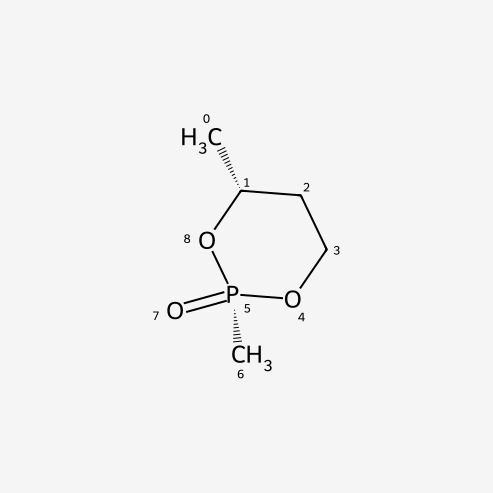 C[C@@H]1CCO[P@@](C)(=O)O1